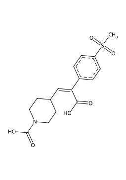 CS(=O)(=O)c1ccc(C(=CC2CCN(C(=O)O)CC2)C(=O)O)cc1